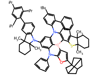 CC(C)c1cc(C(C)C)c(-c2ccc3c(c2)C2(C)CCCCC2(C)N3c2cc3c4c(c2)N(c2ccccc2)c2oc(C56CC7CC5CC7C6)cc2B4c2c(ccc4c2SC2(C)CCCCC42C)N3c2ccc(C(C)(C)C)cc2-c2ccccc2)c(C(C)C)c1